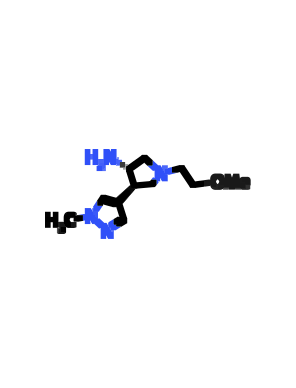 COCCN1C[C@@H](N)[C@H](c2cnn(C)c2)C1